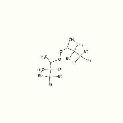 CCC(CC)(CC)C(C)(CC)C(C)OOC(C)C(C)(CC)C(CC)(CC)CC